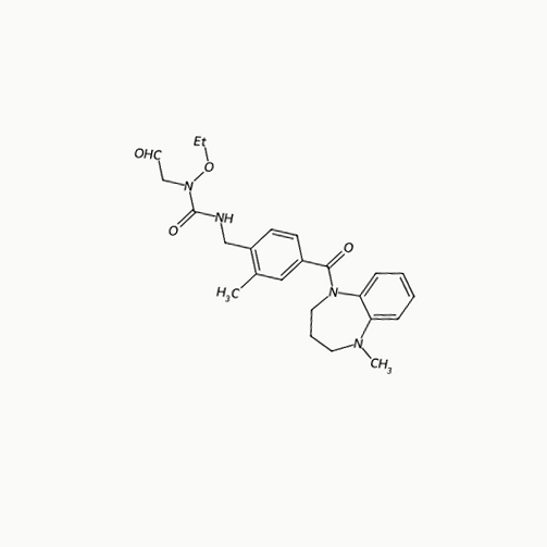 CCON(CC=O)C(=O)NCc1ccc(C(=O)N2CCCN(C)c3ccccc32)cc1C